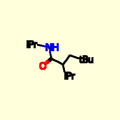 CC(C)NC(=O)C(CC(C)(C)C)C(C)C